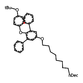 CCCCCCCCCCCCCCCCCCOc1cc(-c2ccccc2)c(Oc2ccc(OC(C)(C)C)cc2)c(-c2ccccc2)c1